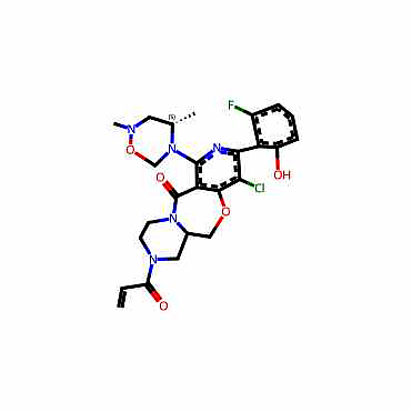 C=CC(=O)N1CCN2C(=O)c3c(N4CON(C)C[C@@H]4C)nc(-c4c(O)cccc4F)c(Cl)c3OCC2C1